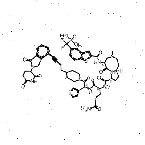 CN1CC[C@H]2CC[C@@H](C(=O)N[C@@H](CCC(N)=O)C(=O)N[C@H](C(=O)N3CCC(CCC#Cc4cccc5c4CN(C4CCC(=O)NC4=O)C5=O)CC3)c3ccsc3)N2C(=O)[C@@H](NC(=O)c2cc3cc(C(F)(F)P(=O)(O)O)ccc3s2)C1